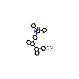 N#Cc1ccc(-c2cc(-c3cc(-c4ccc(-c5cc(-c6ccccc6)nc(-c6ccccc6)n5)cc4)c4ccccc4c3)cc3ccccc23)cc1